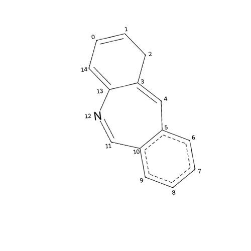 C1=CCC2=Cc3ccccc3C=NC2=C1